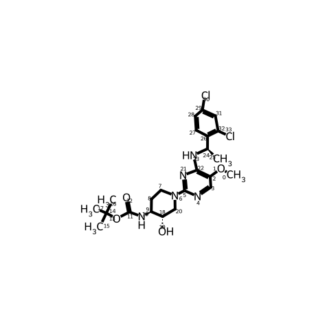 COc1cnc(N2CC[C@H](NC(=O)OC(C)(C)C)[C@@H](O)C2)nc1N[C@H](C)c1ccc(Cl)cc1Cl